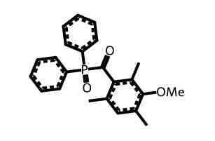 COc1c(C)cc(C)c(C(=O)P(=O)(c2ccccc2)c2ccccc2)c1C